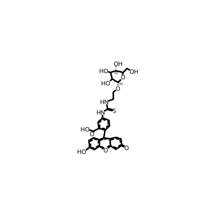 O=C(O)c1cc(NC(=S)NCCO[C@H]2OC(CO)[C@@H](O)C(O)C2O)ccc1-c1c2ccc(=O)cc-2oc2cc(O)ccc12